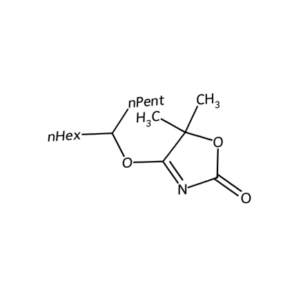 CCCCCCC(CCCCC)OC1=NC(=O)OC1(C)C